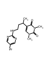 CC(C)c1cnc(NCCC(C)c2cn(C)c(=O)n(C)c2=O)nc1